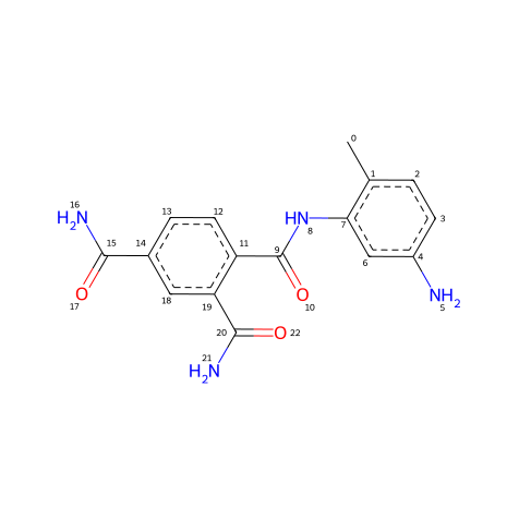 Cc1ccc(N)cc1NC(=O)c1ccc(C(N)=O)cc1C(N)=O